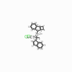 CC[C](C)([Zr+2][CH]1C2=C(CC2)c2ccccc21)C1C=Cc2ccccc21.[Cl-].[Cl-]